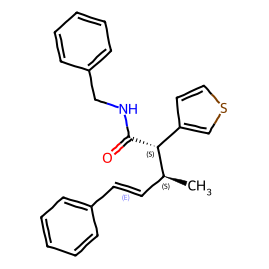 C[C@@H](/C=C/c1ccccc1)[C@H](C(=O)NCc1ccccc1)c1ccsc1